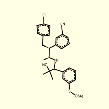 COSc1cccc(C(N[C@@H](C)[C@@H](Cc2ccc(Cl)cc2)c2cccc(C#N)c2)C(C)(C)C#N)c1